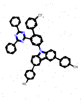 N#Cc1ccc(-c2ccc3c(c2)c2cc(-c4ccc(C#N)cc4)ccc2n3-c2ccc(-c3cccc(C(F)(F)F)c3)c(-c3nc(-c4ccccc4)nc(-c4ccccc4)n3)c2)cc1